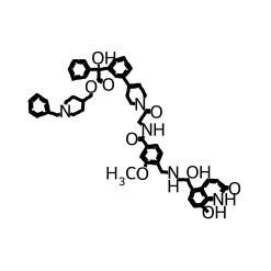 COc1cc(C(=O)NCC(=O)N2CC=C(c3cccc([C@](O)(C(=O)OCC4CCN(Cc5ccccc5)CC4)c4ccccc4)c3)CC2)ccc1CNC[C@H](O)c1ccc(O)c2[nH]c(=O)ccc12